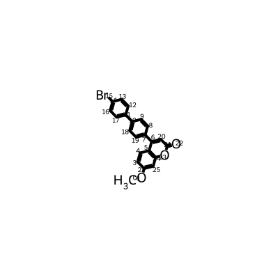 COc1ccc2c(-c3ccc(-c4ccc(Br)cc4)cc3)cc(=O)oc2c1